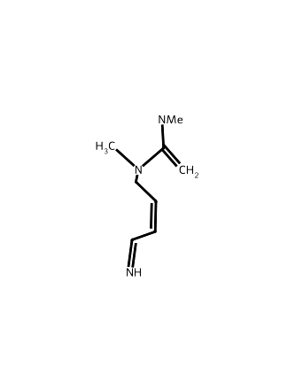 C=C(NC)N(C)C/C=C\C=N